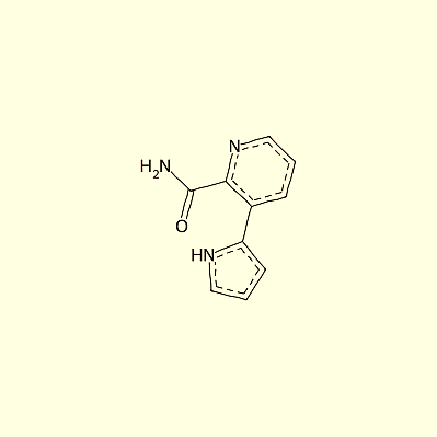 NC(=O)c1ncccc1-c1ccc[nH]1